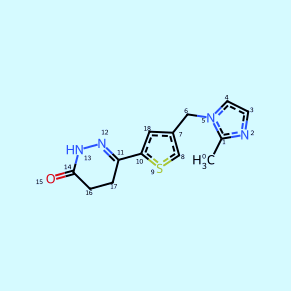 Cc1nccn1Cc1csc(C2=NNC(=O)CC2)c1